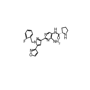 Nc1nc(-c2cc(-c3ccon3)n(Cc3ccccc3F)n2)ncc1NC(=O)[C@@H]1CCCN1